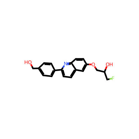 OCc1ccc(-c2ccc3cc(OCC(O)CF)ccc3n2)cc1